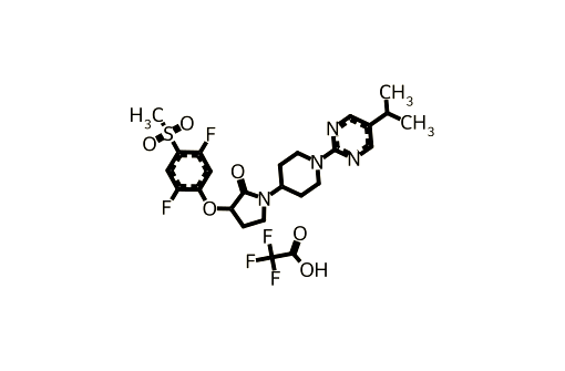 CC(C)c1cnc(N2CCC(N3CCC(Oc4cc(F)c(S(C)(=O)=O)cc4F)C3=O)CC2)nc1.O=C(O)C(F)(F)F